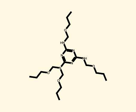 CCCOCNc1nc(NCOCCC)nc(N(COCCC)COCCC)n1